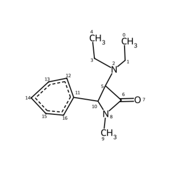 CCN(CC)C1C(=O)N(C)C1c1ccccc1